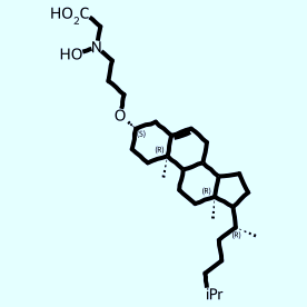 CC(C)CCC[C@@H](C)C1CCC2C3CC=C4C[C@@H](OCCCN(O)CC(=O)O)CC[C@]4(C)C3CC[C@@]21C